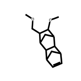 COCC1C2CC(C1OC)C1C3C=CC(C3)C21